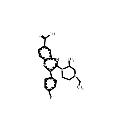 CCN1CCN(c2nc3cc(C(=O)O)ccc3nc2-c2ccc(F)cc2)C(C)C1